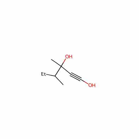 CCC(C)C(C)(O)C#CO